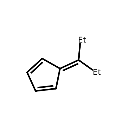 CCC(CC)=C1C=CC=C1